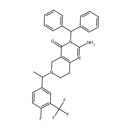 CC(c1ccc(F)c(C(F)(F)F)c1)N1CCc2nc(N)n(C(c3ccccc3)c3ccccc3)c(=O)c2C1